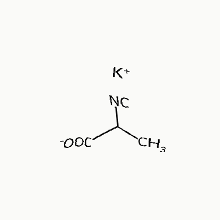 [C-]#[N+]C(C)C(=O)[O-].[K+]